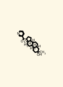 C[C@@]1(O)CC[C@H]2[C@@H](CC[C@@H]3[C@@H]2CC[C@]2(C)[C@@H](C(=O)c4cccnc4)CC[C@@H]32)C1